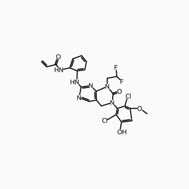 C=CC(=O)Nc1ccccc1Nc1ncc2c(n1)N(CC(F)F)C(=O)N(c1c(Cl)c(O)cc(OC)c1Cl)C2